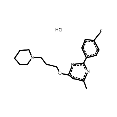 Cc1cc(OCCCN2CCCCC2)nc(-c2ccc(F)cc2)n1.Cl